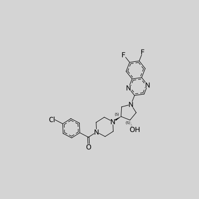 O=C(c1ccc(Cl)cc1)N1CCN([C@H]2CN(c3cnc4cc(F)c(F)cc4n3)C[C@@H]2O)CC1